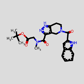 CN(CC(=O)OC(C)(C)C)C(=O)c1n[nH]c2c1CN(C(=O)c1cc3ccccc3[nH]1)CC2